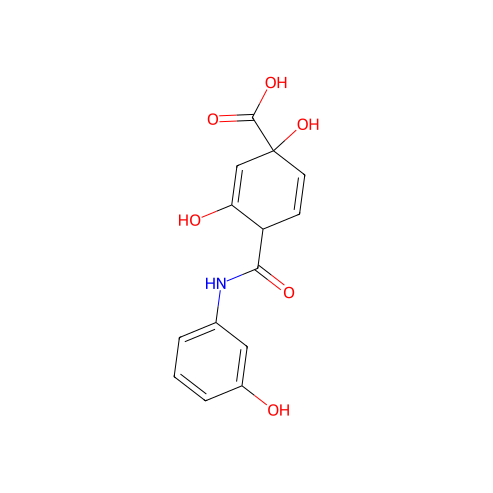 O=C(Nc1cccc(O)c1)C1C=CC(O)(C(=O)O)C=C1O